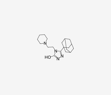 Oc1nnc(C23CC4CC(CC(C4)C2)C3)n1CCN1CCCCC1